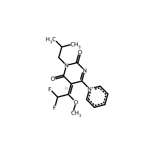 CO/C(=C1/C(=O)N(CC(C)C)C(=O)N=C1[n+]1ccccc1)C(F)F